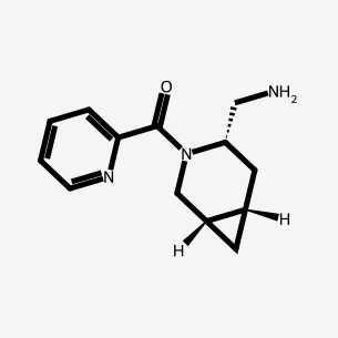 NC[C@@H]1C[C@@H]2C[C@@H]2CN1C(=O)c1ccccn1